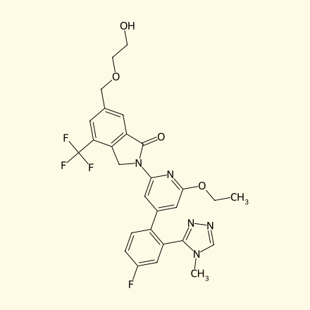 CCOc1cc(-c2ccc(F)cc2-c2nncn2C)cc(N2Cc3c(cc(COCCO)cc3C(F)(F)F)C2=O)n1